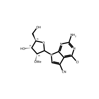 CO[C@H]1C(n2cc(C#N)c3c(Cl)nc(N)nc32)O[C@H](CO)[C@H]1O